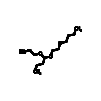 CCCCOCCOC(CCC)OCCO